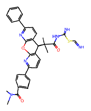 CN(C)C(=O)c1ccc(-c2ccc3c(n2)Oc2nc(-c4ccccc4)ccc2C3C(C)(C)C(=O)NC(=N)SC=N)cc1